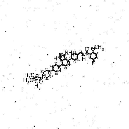 COc1ccc(F)cc1C(=O)NCc1ccc(-c2ncc(-c3ccc(N4CCN(C(=O)OC(C)(C)C)CC4)cn3)c3[nH]nc(N)c23)cc1